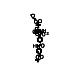 COCCOC(=O)C(C)(C)COS(=O)(=O)ON(C(N)=O)[C@H]1CC[C@H](C(=O)NC2CCN(C(=O)OC(C)(C)C)CC2)CC1